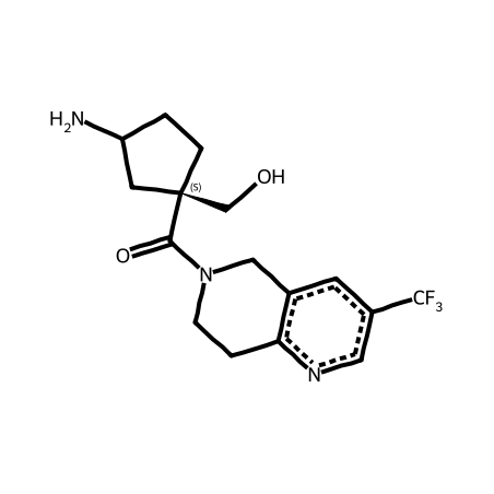 NC1CC[C@](CO)(C(=O)N2CCc3ncc(C(F)(F)F)cc3C2)C1